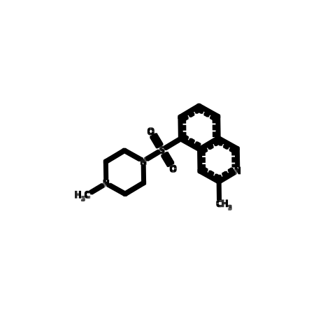 Cc1cc2c(S(=O)(=O)N3CCN(C)CC3)cccc2cn1